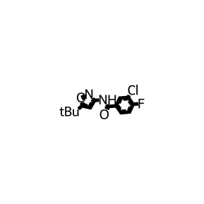 CC(C)(C)c1cc(NC(=O)c2ccc(F)c(Cl)c2)no1